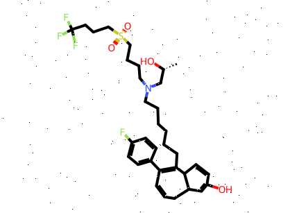 C[C@@H](O)CN(CCCCCCC1=C(c2ccc(F)cc2)C=CCC2C=C(O)C=CC12)CCCCS(=O)(=O)CCCC(F)(F)F